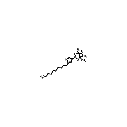 CCCCCCCCCCn1cc(B2OC(C)(C)C(C)(C)O2)cn1